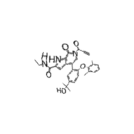 C#CC(=O)n1cc(-c2cc(C(C)(C)O)ccc2Oc2c(C)cccc2C)c2cc(C(=O)NCC)[nH]c2c1=O